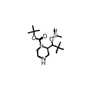 C[SiH](C)OC(C1CNCCN1C(=O)OC(C)(C)C)C(C)(C)C